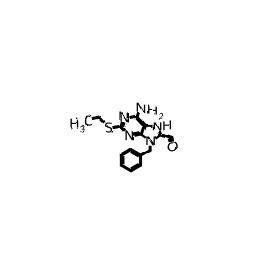 CCSc1nc(N)c2c(n1)N(Cc1ccccc1)C(C=O)N2